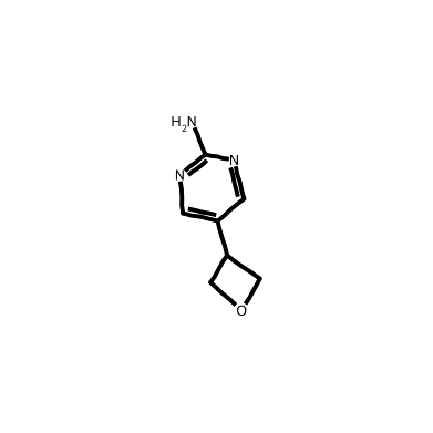 Nc1ncc(C2COC2)cn1